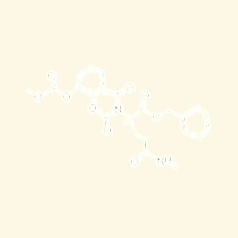 COC(=O)Oc1cccc2c(=O)n([C@@H](CCC(N)=O)C(=O)OCc3ccccc3)c(=O)oc12